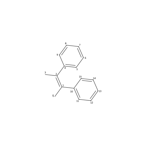 [CH2]C(=C(C)c1ccccc1)c1ccccc1